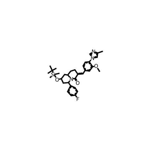 COc1cc(/C=C2\CCC3CC(O[Si](C)(C)C(C)(C)C)CC(c4ccc(F)cc4)N3C2=O)ccc1-n1cnc(C)c1